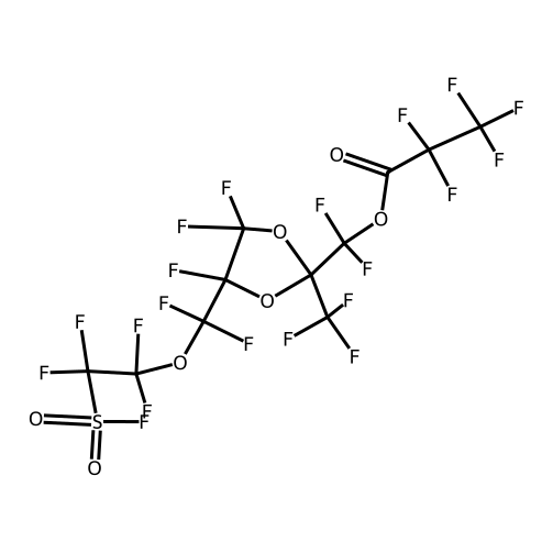 O=C(OC(F)(F)C1(C(F)(F)F)OC(F)(F)C(F)(C(F)(F)OC(F)(F)C(F)(F)S(=O)(=O)F)O1)C(F)(F)C(F)(F)F